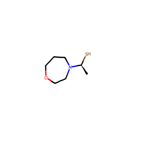 C[C@H](S)N1CCCOCC1